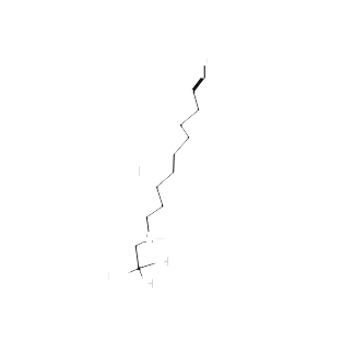 CCCCCCCCC=CCCCCCCCCNCC(O)(O)O.Cl